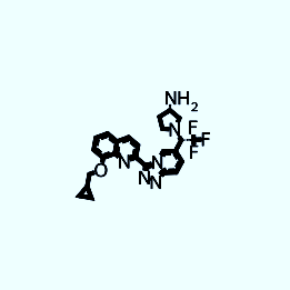 N[C@H]1CCN([C@@H](c2ccc3nnc(-c4ccc5cccc(OCC6CC6)c5n4)n3c2)C(F)(F)F)C1